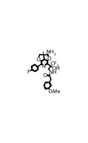 COc1cccc(CC(=O)NCC(O)(c2cc3c(c(-c4ccc(F)cc4)n2)OC[C@]3(C)C(N)=O)C(F)(F)F)c1